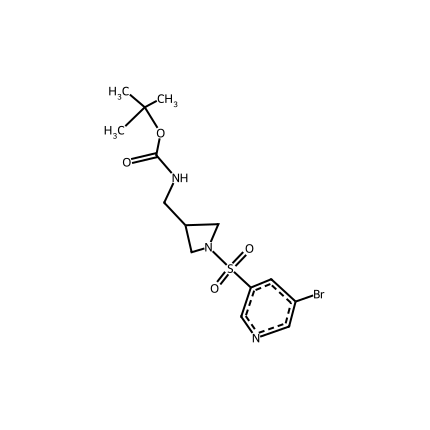 CC(C)(C)OC(=O)NCC1CN(S(=O)(=O)c2cncc(Br)c2)C1